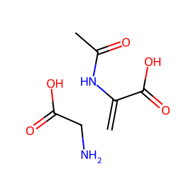 C=C(NC(C)=O)C(=O)O.NCC(=O)O